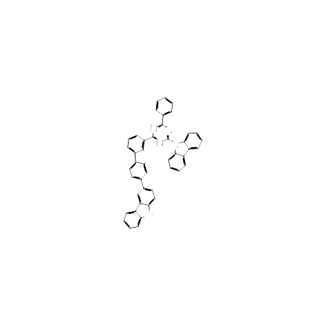 c1ccc(-c2nc(-c3cccc4c3oc3cc(-c5ccc6oc7ccccc7c6c5)ccc34)nc(-n3c4ccccc4c4ccccc43)n2)cc1